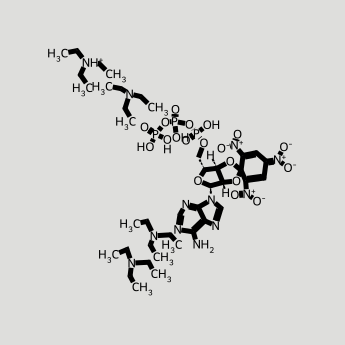 CCN(CC)CC.CCN(CC)CC.CCN(CC)CC.CC[NH+](CC)CC.Nc1ncnc2c1ncn2[C@@H]1O[C@H](COP(=O)(O)OP(=O)(O)OP(=O)(O)O)[C@H]2OC3(O[C@H]21)C([N+](=O)[O-])=CC(=[N+]([O-])[O-])C=C3[N+](=O)[O-]